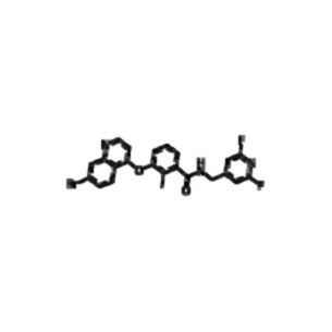 Cc1c(Oc2ccnc3cc(Br)ccc23)cccc1C(=O)NCc1cc(F)nc(F)c1